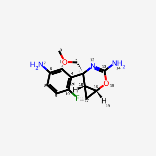 COC[C@]1(c2cc(N)ccc2F)N=C(N)O[C@@H]2C[C@@H]21